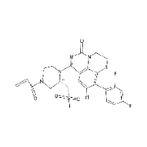 C=CC(=O)N1CCN(c2nc(=O)n3c4c(c(-c5ccc(F)cc5F)c(Cl)cc24)SCC3)[C@H](CS(C)(=O)=O)C1